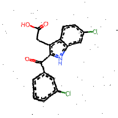 O=C(O)Cc1c(C(=O)c2cccc(Cl)c2)[nH]c2cc(Cl)ccc12